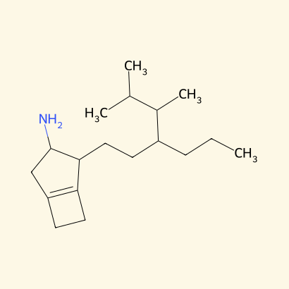 CCCC(CCC1C2=C(CC2)CC1N)C(C)C(C)C